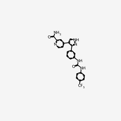 NC(=O)c1cc(-c2c[nH]nc2-c2cccc(NC(=O)Nc3ccc(C(F)(F)F)cc3)c2)ccn1